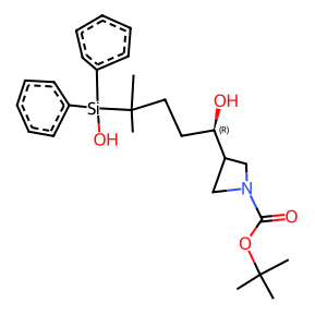 CC(C)(C)OC(=O)N1CC([C@H](O)CCC(C)(C)[Si](O)(c2ccccc2)c2ccccc2)C1